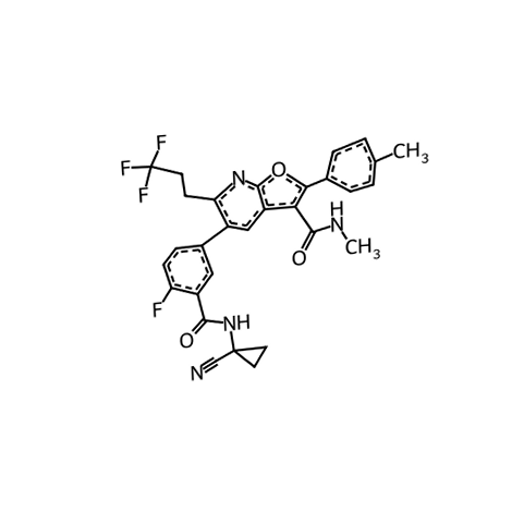 CNC(=O)c1c(-c2ccc(C)cc2)oc2nc(CCC(F)(F)F)c(-c3ccc(F)c(C(=O)NC4(C#N)CC4)c3)cc12